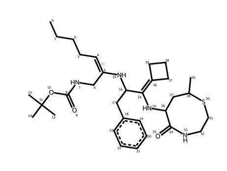 CCCC/C=C(\CNC(=O)OC(C)(C)C)NC(Cc1ccccc1)C(NC1CC(C)SCCNC1=O)=C1CCC1